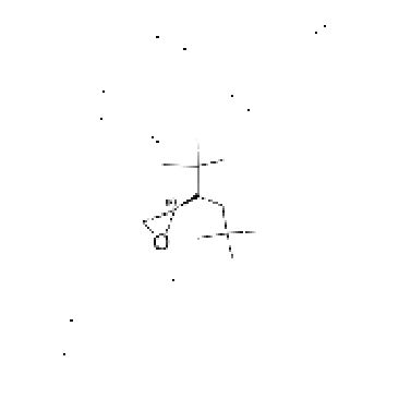 CC(C)(C)CC([C@@H]1CO1)C(C)(C)C